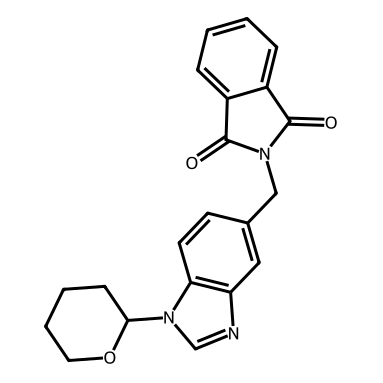 O=C1c2ccccc2C(=O)N1Cc1ccc2c(c1)ncn2C1CCCCO1